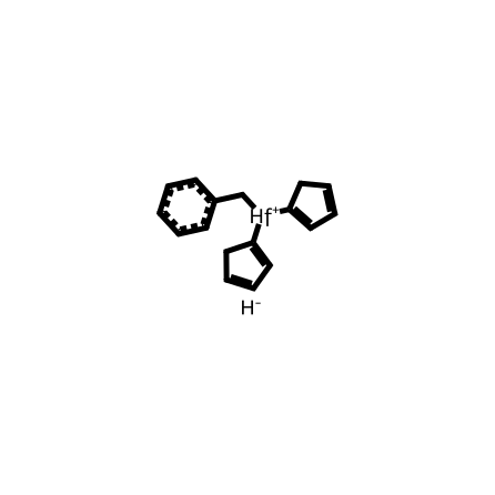 C1=CC[C]([Hf+]([CH2]c2ccccc2)[C]2=CC=CC2)=C1.[H-]